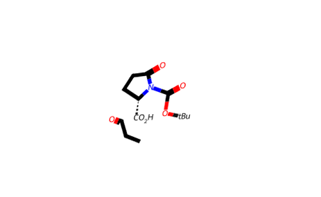 CC(C)(C)OC(=O)N1C(=O)CC[C@H]1C(=O)O.CCC=O